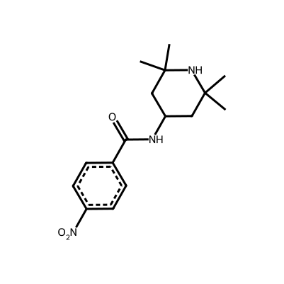 CC1(C)CC(NC(=O)c2ccc([N+](=O)[O-])cc2)CC(C)(C)N1